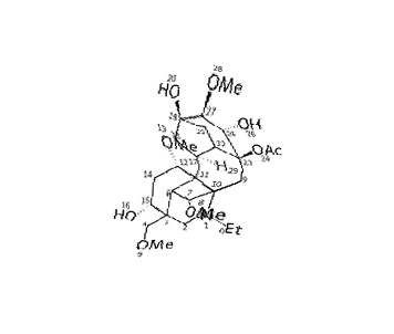 CCN1CC2(COC)C3C(OC)C4C1C3([C@@H](OC)C[C@H]2O)[C@H]1C[C@@]2(O)CC1[C@]4(OC(C)=O)[C@@H](O)[C@@H]2OC